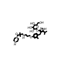 Cc1cc(OCCCNCC(C)(C)C(=O)N2CCNCC2)ccc1Cc1c(OC2OC(CO)[C@@H](O)C(O)[C@H]2O)n[nH]c1C(C)C